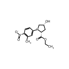 CCOC(=O)[C@H]1C[C@@H](O)CN1c1ccc([N+](=O)[O-])c(C)c1